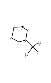 CCC(C)(CC)C1CCCNC1